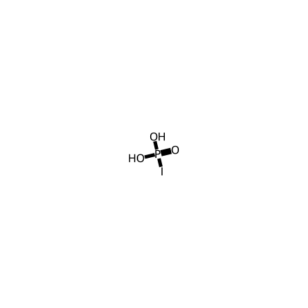 O=P(O)(O)I